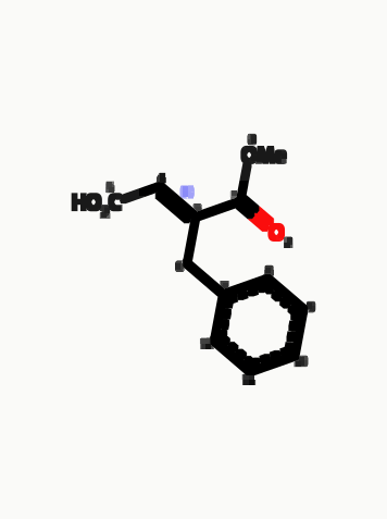 COC(=O)/C(=C/C(=O)O)Cc1ccccc1